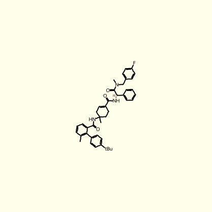 Cc1cccc(C(=O)NC2(C)CC=C(C(=O)N[C@H](C(=O)N(C)Cc3ccc(F)cc3)c3ccccc3)CC2)c1-c1ccc(C(C)(C)C)cc1